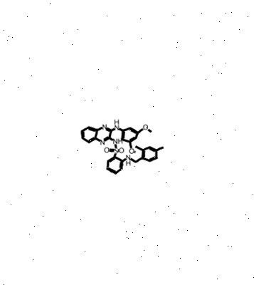 COc1cc(Nc2nc3ccccc3nc2NS(=O)(=O)c2ccccc2NCc2ccc(C)cc2C)cc(OC)c1